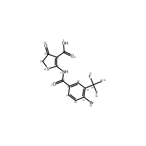 O=C(O)C1=C(NC(=O)c2ccc(Br)c(C(F)(F)F)c2)SCC1=O